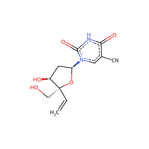 C=C[C@]1(CO)O[C@H](n2cc(C#N)c(=O)[nH]c2=O)C[C@@H]1O